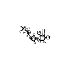 CC(C)(C)[Si](C)(C)OC[C@@H]1CC[C@H](n2ccc(=O)[nH]c2=O)S1